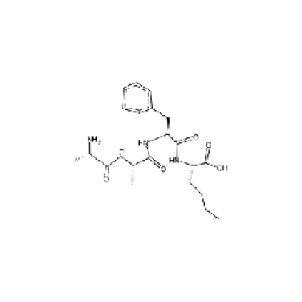 CCCC[C@H](NC(=O)[C@H](Cc1ccccc1)NC(=O)[C@H](C)NC(=O)[C@H](C)N)C(=O)O